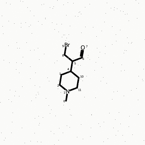 CN1CCC(C(C=O)CBr)CC1